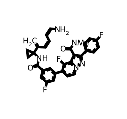 C=C(/C=C\C=C/N)C1(NC(=O)c2cc(F)cc(-c3ccn4nc(-c5ccc(F)cc5)c(C(=O)NC)c4c3F)c2)CC1